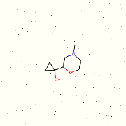 CN1CCOC(C2(O)CC2)C1